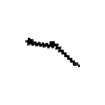 CCCCCCCCCCCCCCC1COC(COCCCCCCC[n+]2ccsc2)C1